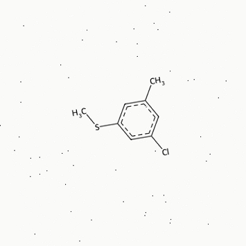 CSc1cc(C)cc(Cl)c1